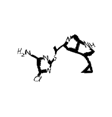 CC(Sc1nc(N)cc(Cl)n1)c1cc2c(C3CC3)c[nH]c2cn1